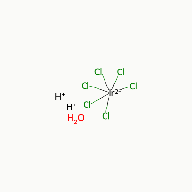 O.[Cl][Ir-2]([Cl])([Cl])([Cl])([Cl])[Cl].[H+].[H+]